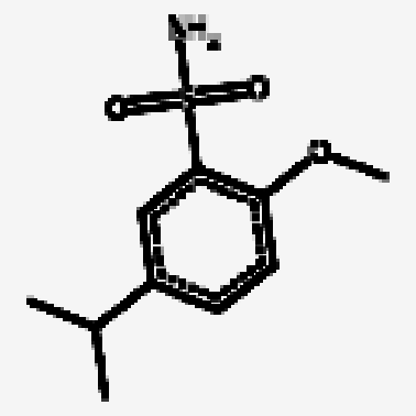 COc1ccc(C(C)C)cc1S(N)(=O)=O